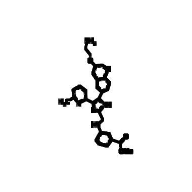 COC(=O)c1cccc(NCc2nc(-c3cccc(C)n3)c(-c3ccc4ncc(OCCN)cc4c3)[nH]2)c1